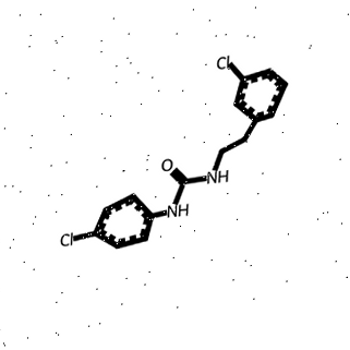 O=C(NCCc1cccc(Cl)c1)Nc1ccc(Cl)cc1